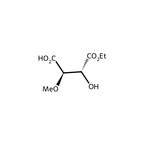 CCOC(=O)[C@H](O)[C@@H](OC)C(=O)O